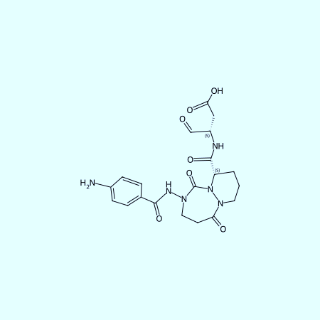 Nc1ccc(C(=O)NN2CCC(=O)N3CCC[C@@H](C(=O)N[C@H](C=O)CC(=O)O)N3C2=O)cc1